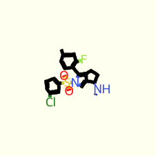 CNC1CCc2c1cn(S(=O)(=O)c1cccc(Cl)c1)c2-c1ccc(C)cc1F